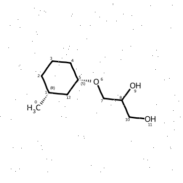 C[C@@H]1CCC[C@H](OCC(O)CO)C1